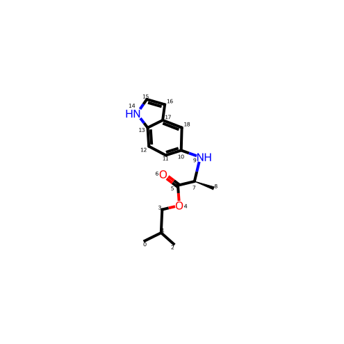 CC(C)COC(=O)[C@H](C)Nc1ccc2[nH]ccc2c1